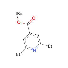 CCc1cc(C(=O)OC(C)(C)C)cc(CC)n1